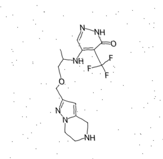 CC(COCc1cc2n(n1)CCNC2)Nc1cn[nH]c(=O)c1C(F)(F)F